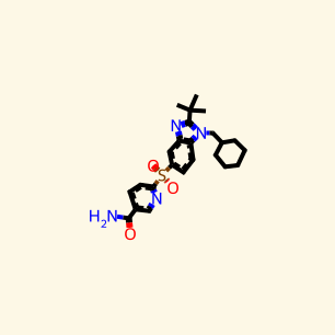 CC(C)(C)c1nc2cc(S(=O)(=O)c3ccc(C(N)=O)cn3)ccc2n1CC1CCCCC1